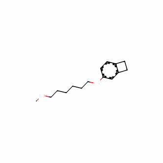 COCCCCCCOc1ccc2c(c1)CC2